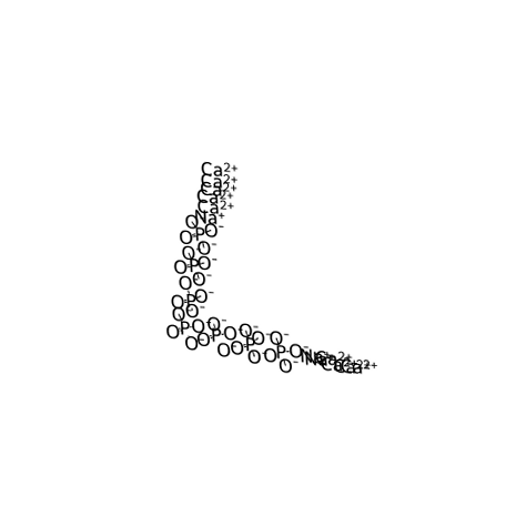 O=P([O-])([O-])[O-].O=P([O-])([O-])[O-].O=P([O-])([O-])[O-].O=P([O-])([O-])[O-].O=P([O-])([O-])[O-].O=P([O-])([O-])[O-].O=P([O-])([O-])[O-].[Ca+2].[Ca+2].[Ca+2].[Ca+2].[Ca+2].[Ca+2].[Ca+2].[Ca+2].[Ca+2].[Na+].[Na+].[Na+]